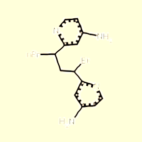 CCCC(CC(CC)c1cc(N)ccn1)c1cc(N)ccn1